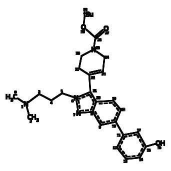 CN(C)CCCn1nc2cc(-c3cccc(O)c3)ccc2c1C1=CCN(C(=O)OC(C)(C)C)CC1